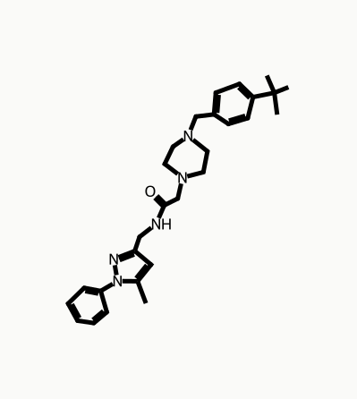 Cc1cc(CNC(=O)CN2CCN(Cc3ccc(C(C)(C)C)cc3)CC2)nn1-c1ccccc1